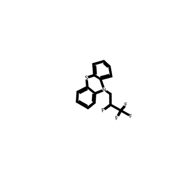 FC(CN1c2ccccc2Sc2ccccc21)C(F)(F)F